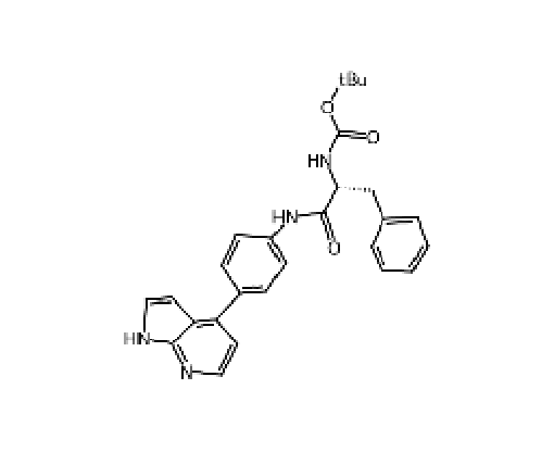 CC(C)(C)OC(=O)N[C@H](Cc1ccccc1)C(=O)Nc1ccc(-c2ccnc3[nH]ccc23)cc1